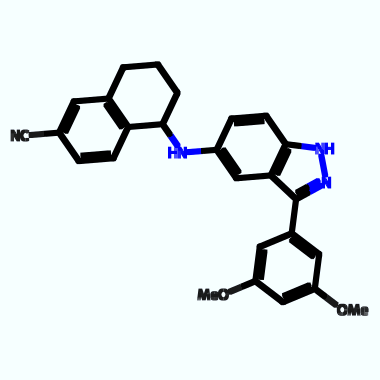 COc1cc(OC)cc(-c2n[nH]c3ccc(NC4CCCc5cc(C#N)ccc54)cc23)c1